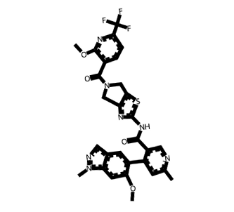 COc1cc2c(cnn2C)cc1-c1cc(C)ncc1C(=O)Nc1nc2c(s1)CN(C(=O)c1ccc(C(F)(F)F)nc1OC)C2